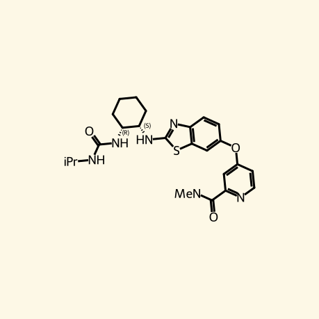 CNC(=O)c1cc(Oc2ccc3nc(N[C@H]4CCCC[C@H]4NC(=O)NC(C)C)sc3c2)ccn1